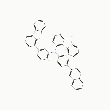 c1cc(-c2cccc3c2sc2ccccc23)cc(N(c2ccc(-c3ccc4ccccc4c3)cc2)c2cccc3oc4ccccc4c23)c1